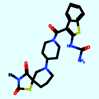 CCN1C(=O)SC2(CCCN(C3CCN(C(=O)c4c(NC(N)=O)sc5ccccc45)CC3)C2)C1=O